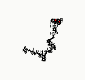 O=C(CCCCCN1C(=O)C=CC1=O)NCC(=O)NCC(=O)N[C@@H](Cc1ccccc1)C(=O)NCC(=O)NCC(=O)NCN1C(=O)CCC(N2Cc3c(C#CCCCNC(=O)c4ccc(NC(=O)[C@@H]5NC6(CCCCC6)[C@@]6(C(=O)Nc7cc(Cl)ccc76)[C@H]5c5cccc(Cl)c5F)cc4)cccc3C2=O)C1=O